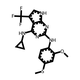 COc1cc(SC)ccc1Nc1nc(NC2CC2)c2c(C(F)(F)F)c[nH]c2n1